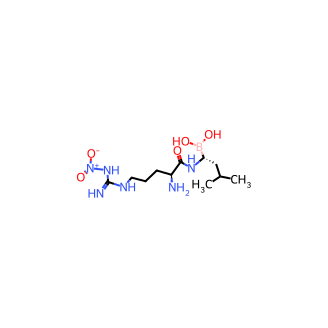 CC(C)C[C@H](NC(=O)[C@@H](N)CCCNC(=N)N[N+](=O)[O-])B(O)O